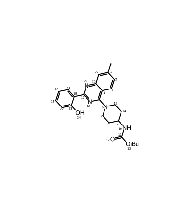 Cc1ccc2c(N3CCC(NC(=O)OCC(C)C)CC3)nc(-c3ccccc3O)nc2c1